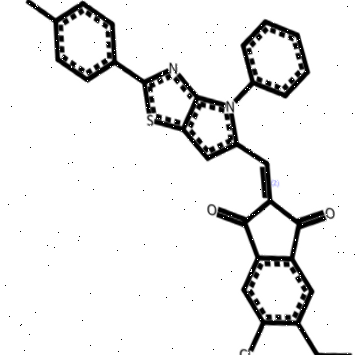 CCc1cc2c(cc1Cl)C(=O)/C(=C\c1cc3sc(-c4ccc(C)cc4)nc3n1-c1ccccc1)C2=O